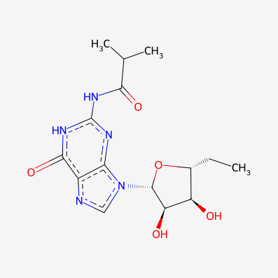 CC[C@H]1O[C@@H](n2cnc3c(=O)[nH]c(NC(=O)C(C)C)nc32)[C@H](O)[C@@H]1O